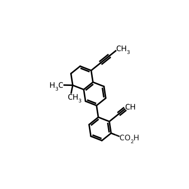 C#Cc1c(C(=O)O)cccc1-c1ccc2c(c1)C(C)(C)CC=C2C#CC